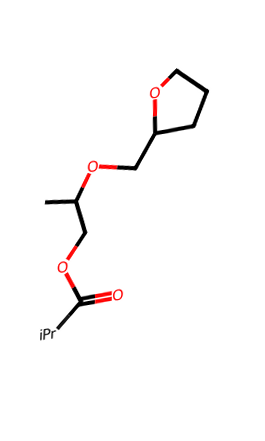 CC(COC(=O)C(C)C)OCC1CCCO1